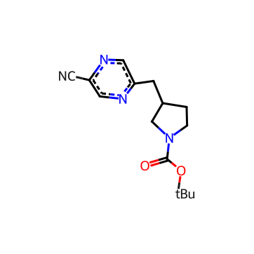 CC(C)(C)OC(=O)N1CCC(Cc2cnc(C#N)cn2)C1